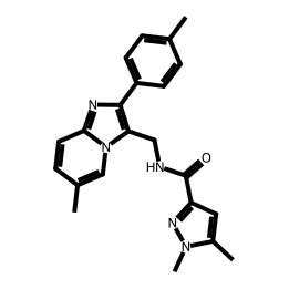 Cc1ccc(-c2nc3ccc(C)cn3c2CNC(=O)c2cc(C)n(C)n2)cc1